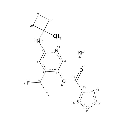 CC1(Nc2cc(C(F)F)c(OC(=O)c3nccs3)cn2)CCC1.[KH]